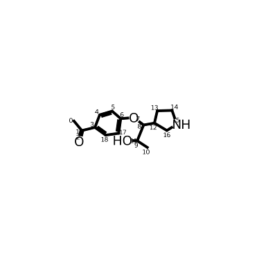 CC(=O)c1ccc(OC(C(C)O)C2CCNC2)cc1